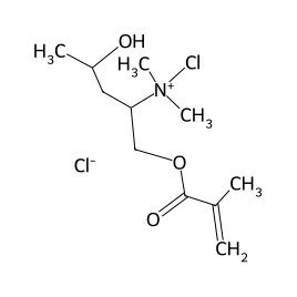 C=C(C)C(=O)OCC(CC(C)O)[N+](C)(C)Cl.[Cl-]